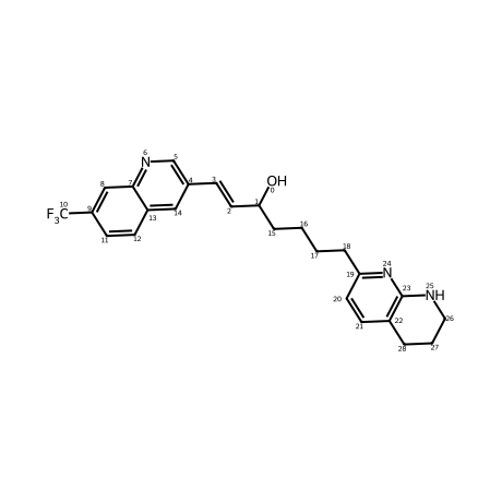 OC(C=Cc1cnc2cc(C(F)(F)F)ccc2c1)CCCCc1ccc2c(n1)NCCC2